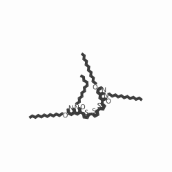 CCCCCCCCCCCCOc1cnc2c(c1)cc(-c1ccc(-c3ccc(-c4ccc(-c5cc6cc(OCCCCCCCCCCCC)cnc6n(CCCCCCCCCCCC)c5=O)s4)s3)s1)c(=O)n2CCCCCCCCCCCC